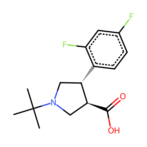 CC(C)(C)N1C[C@H](C(=O)O)[C@@H](c2ccc(F)cc2F)C1